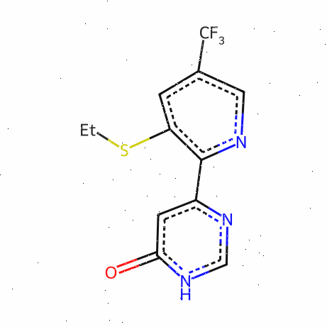 CCSc1cc(C(F)(F)F)cnc1-c1cc(=O)[nH]cn1